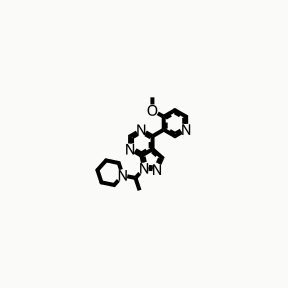 COc1ccncc1-c1ncnc2c1cnn2C(C)N1CCCCC1